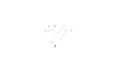 O=C1NC2CC(O1)C(C(O)O)C(C(O)O)C2C(O)O